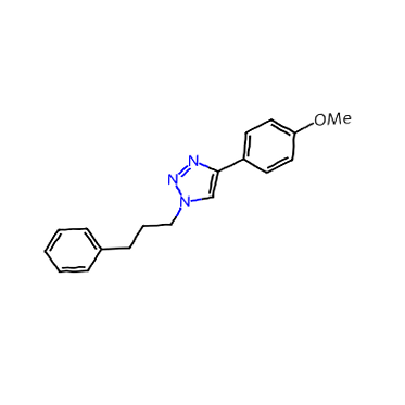 COc1ccc(-c2cn(CCCc3ccccc3)nn2)cc1